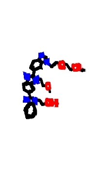 COCCOCCn1cnc2ccc(-c3nc4ccc(-c5nc6ccccc6n5CCO)cc4n3CCOC)cc21